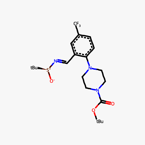 CC(C)(C)OC(=O)N1CCN(c2ccc(C(F)(F)F)cc2C=N[S@@+]([O-])C(C)(C)C)CC1